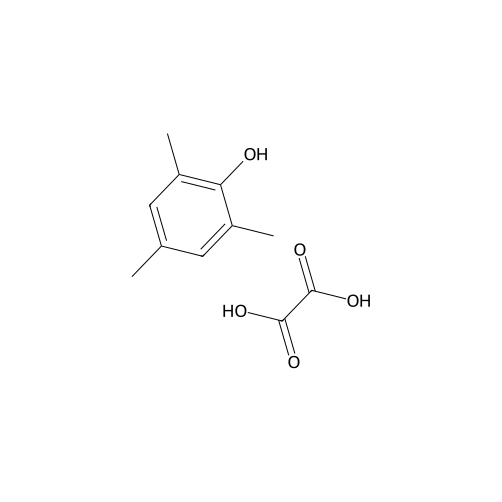 Cc1cc(C)c(O)c(C)c1.O=C(O)C(=O)O